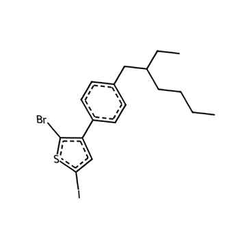 CCCCC(CC)Cc1ccc(-c2cc(I)sc2Br)cc1